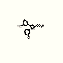 N#Cc1cccc(-c2cc(C(=O)O)nn2-c2cccc(Cl)c2)c1